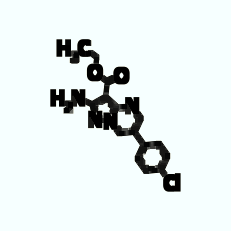 CCOC(=O)c1c(N)nn2cc(-c3ccc(Cl)cc3)cnc12